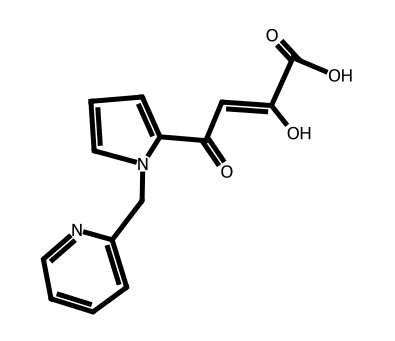 O=C(O)C(O)=CC(=O)c1cccn1Cc1ccccn1